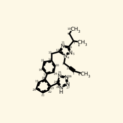 CC#CCn1nc(C(C)CC)nc1Cc1ccc(-c2ccccc2-c2nnn[nH]2)cc1